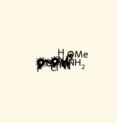 CON=Cc1c(N)ncnc1Nc1ccc(OCc2cccc(F)c2)c(Cl)c1